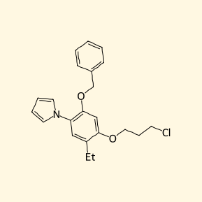 CCc1cc(-n2cccc2)c(OCc2ccccc2)cc1OCCCCl